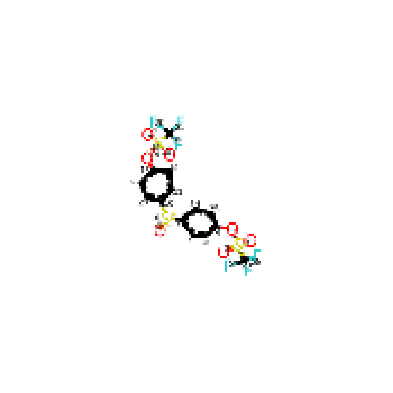 O=S(=O)(Oc1ccc([S+]([O-])c2ccc(OS(=O)(=O)C(F)(F)F)cc2)cc1)C(F)(F)F